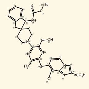 Cc1nc(N2CCC3(CC2)Cc2ccccc2[C@H]3NC(=O)OC(C)(C)C)c(CO)nc1Sc1ccn2cc(C(=O)O)nc2c1Cl